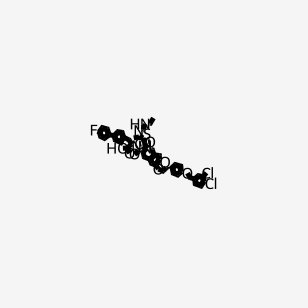 CCNc1nc(C)c(S(=O)(=O)N2Cc3cc4c(cc3C[C@H]2C(=O)NC(Cc2ccc(-c3ccc(F)cc3)cc2)C(=O)O)OC[C@H](c2ccc(OCc3ccc(Cl)c(Cl)c3)cc2)O4)s1